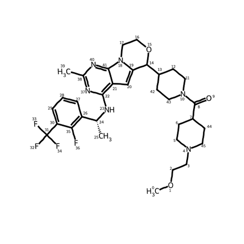 COCCN1CCC(C(=O)N2CCC(C3OCCn4c3cc3c(N[C@H](C)c5cccc(C(F)(F)F)c5F)nc(C)nc34)CC2)CC1